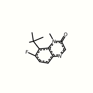 Cn1c(=O)cnc2ccc(F)c(C(C)(C)C)c21